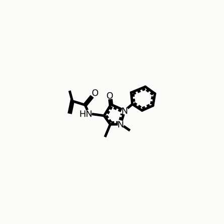 C=C(C)C(=O)Nc1c(C)n(C)n(-c2ccccc2)c1=O